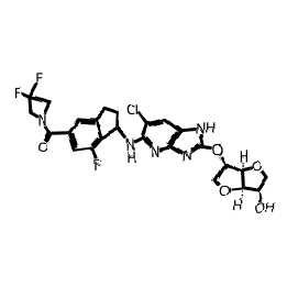 O=C(c1cc(F)c2c(c1)CCC2Nc1nc2nc(O[C@@H]3CO[C@H]4[C@@H]3OC[C@H]4O)[nH]c2cc1Cl)N1CC(F)(F)C1